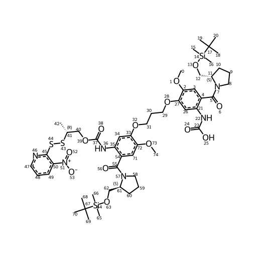 COc1cc(C(=O)N2CCC[C@H]2CO[Si](C)(C)C(C)(C)C)c(NC(=O)O)cc1OCCCOc1cc(NC(=O)OC[C@@H](C)SSc2ncccc2[N+](=O)[O-])c(C(=O)N2CCC[C@H]2CO[Si](C)(C)C(C)(C)C)cc1OC